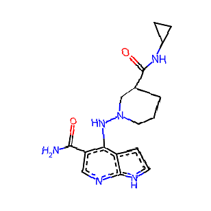 NC(=O)c1cnc2[nH]ccc2c1NN1CCCC(C(=O)NC2CC2)C1